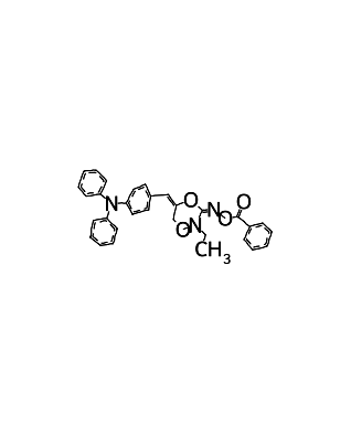 CCN1OC/C(=C\c2ccc(N(c3ccccc3)c3ccccc3)cc2)OC1=NOC(=O)c1ccccc1